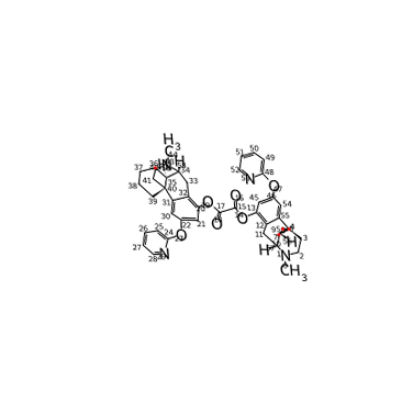 CN1CC[C@]23CCCC[C@H]2[C@H]1Cc1c(OC(=O)C(=O)Oc2cc(Oc4ccccn4)cc4c2C[C@@H]2[C@@H]5CCCC[C@]45CCN2C)cc(Oc2ccccn2)cc13